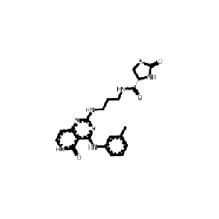 Cc1cccc(Nc2nc(NCCCNC(=O)[C@@H]3CSC(=O)N3)nc3cc[nH]c(=O)c23)c1